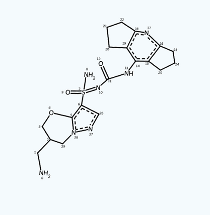 NCC1COc2c(S(N)(=O)=NC(=O)Nc3c4c(nc5c3CCC5)CCC4)cnn2C1